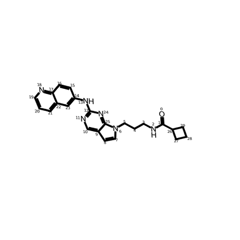 O=C(NCCCn1ccc2cnc(Nc3ccc4ncccc4c3)nc21)C1CCC1